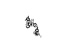 Cc1cc(C)c(Oc2nc(NC3CCN(Cc4ccc(S(N)(=O)=O)cc4)CC3)nc3c2SCCC3)c(C)c1